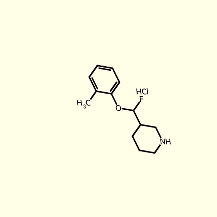 Cc1ccccc1OC(F)C1CCCNC1.Cl